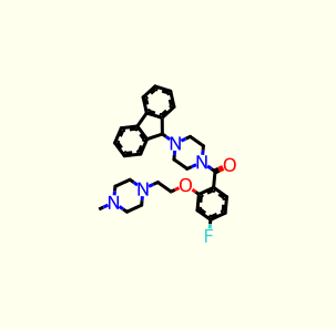 CN1CCN(CCOc2cc(F)ccc2C(=O)N2CCN(C3c4ccccc4-c4ccccc43)CC2)CC1